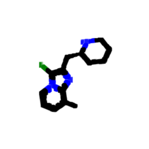 Cc1cccn2c(F)c(C[C@@H]3CCCCN3)nc12